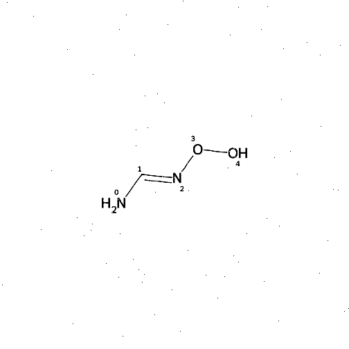 NC=NOO